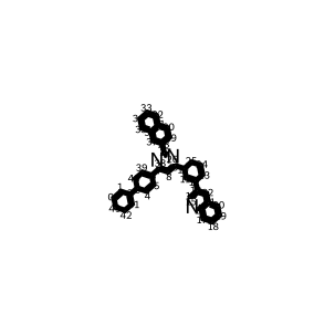 C1=CC(C2C=CC(c3cc(C4C=C(c5cnc6ccccc6c5)C=CC4)nc(-c4ccc5ccccc5c4)n3)=CC2)=CCC1